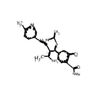 C=C(N)/N=C(\C(C#Cc1ccc(C)nc1)=C(\C)N)c1ccc(C(=O)NC)c(Cl)c1